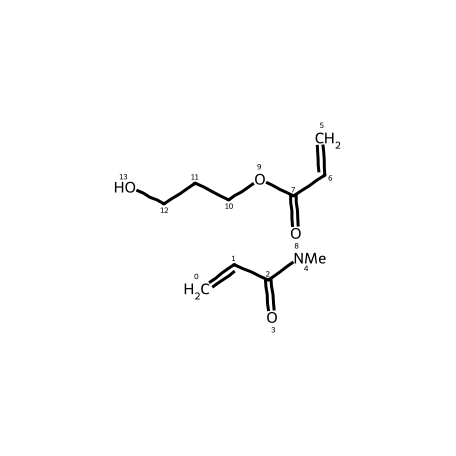 C=CC(=O)NC.C=CC(=O)OCCCO